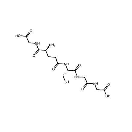 N[C@@H](CCC(=O)N[C@@H](CS)C(=O)NCC(=O)NCC(=O)O)C(=O)NCC(=O)O